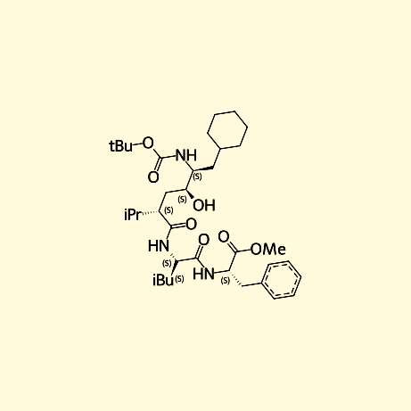 CC[C@H](C)[C@H](NC(=O)[C@@H](C[C@H](O)[C@H](CC1CCCCC1)NC(=O)OC(C)(C)C)C(C)C)C(=O)N[C@@H](Cc1ccccc1)C(=O)OC